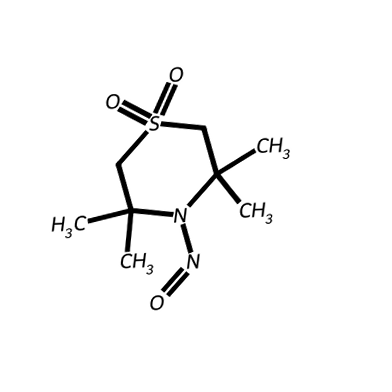 CC1(C)CS(=O)(=O)CC(C)(C)N1N=O